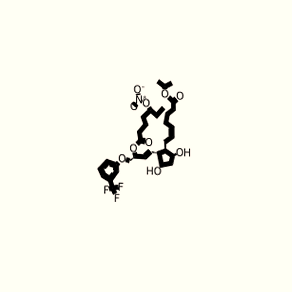 CCC(CCCC(=O)O[C@H](/C=C/[C@@H]1[C@@H](C/C=C\CCCC(=O)OC(C)C)[C@@H](O)C[C@H]1O)COc1cccc(C(F)(F)F)c1)O[N+](=O)[O-]